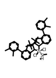 Cc1cccc(-c2cccc3c2C=C(C(C)(C)C)[CH]3[Zr]([Cl])([Cl])([CH]2C(C(C)(C)C)=Cc3c(-c4cccc(C)c4C)cccc32)[SiH](C)C)c1C